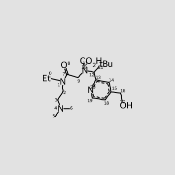 CCN(CCN(C)C)C(=O)CN(C(=O)O)C(c1cc(CO)ccn1)C(C)(C)C